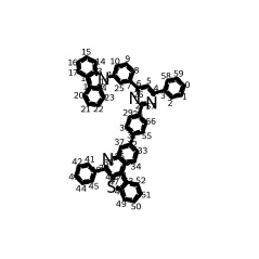 c1ccc(-c2cc(-c3cccc(-n4c5ccccc5c5ccccc54)c3)nc(-c3ccc(-c4ccc5c(c4)nc(-c4ccccc4)c4sc6ccccc6c45)cc3)n2)cc1